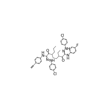 C#Cc1ccc(NC(=NNc2ccc(Cl)cc2)C(=O)C(CCC)CCC(CC)C(=O)C(=NNc2ccc(Cl)cc2)Nc2ccc(F)cc2)cc1